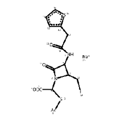 CC(=O)SC(C(=O)[O-])N1C(=O)C(NC(=O)Cc2cccs2)C1CI.[Na+]